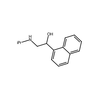 CC(C)NCC(O)c1cccc2ccccc12